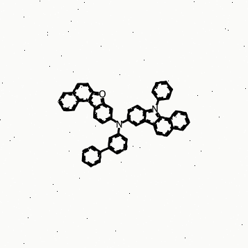 c1ccc(-c2cccc(N(c3ccc4c(c3)oc3ccc5ccccc5c34)c3ccc4c(c3)c3ccc5ccccc5c3n4-c3ccccc3)c2)cc1